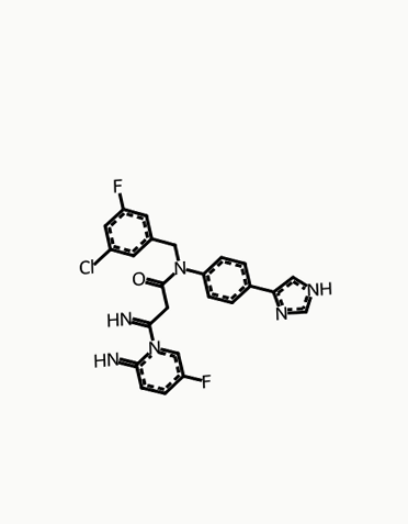 N=C(CC(=O)N(Cc1cc(F)cc(Cl)c1)c1ccc(-c2c[nH]cn2)cc1)n1cc(F)ccc1=N